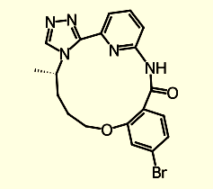 C[C@H]1CCCOc2cc(Br)ccc2C(=O)Nc2cccc(n2)-c2nncn21